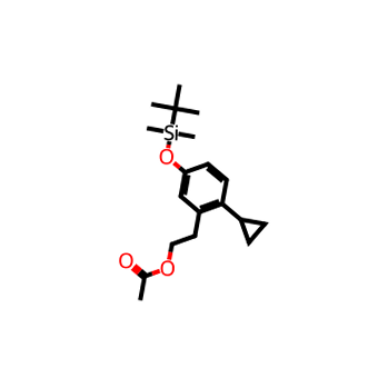 CC(=O)OCCc1cc(O[Si](C)(C)C(C)(C)C)ccc1C1CC1